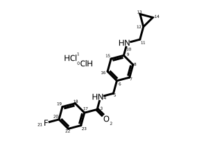 Cl.Cl.O=C(NCc1ccc(NCC2CC2)cc1)c1ccc(F)cc1